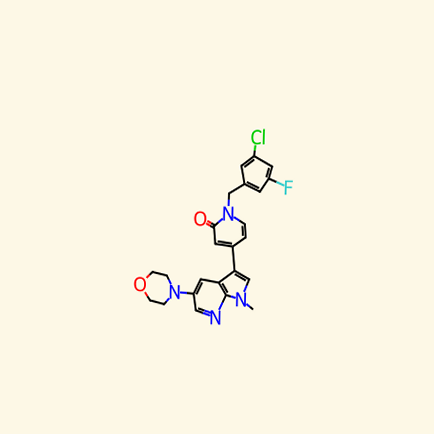 Cn1cc(-c2ccn(Cc3cc(F)cc(Cl)c3)c(=O)c2)c2cc(N3CCOCC3)cnc21